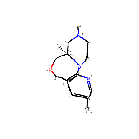 CN1CCN2c3ncc(C(F)(F)F)cc3COC[C@H]2C1